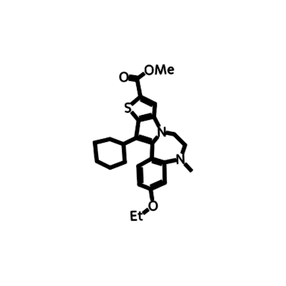 CCOc1ccc2c(c1)N(C)CCn1c-2c(C2CCCCC2)c2sc(C(=O)OC)cc21